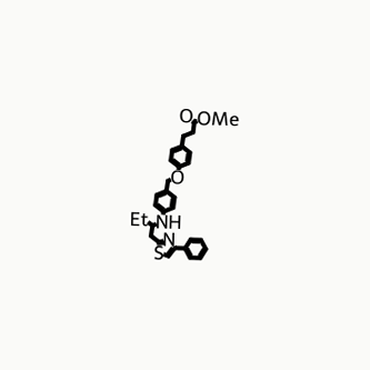 CCC(Cc1nc(-c2ccccc2)cs1)Nc1ccc(COc2ccc(CCC(=O)OC)cc2)cc1